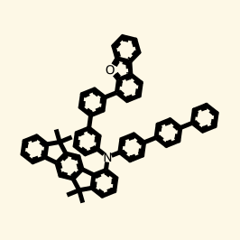 CC1(C)c2ccccc2-c2cc3c(cc21)-c1c(N(c2ccc(-c4ccc(-c5ccccc5)cc4)cc2)c2cccc(-c4cccc(-c5cccc6c5oc5ccccc56)c4)c2)cccc1C3(C)C